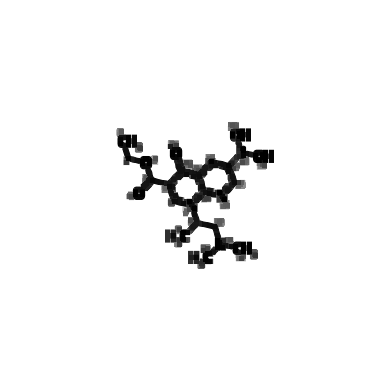 CCOC(=O)c1cn(C(C)CN(C)C)c2ncc(B(O)O)cc2c1=O